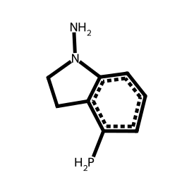 NN1CCc2c(P)cccc21